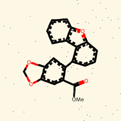 COC(=O)c1cc2c(cc1-c1cccc3oc4ccccc4c13)OCO2